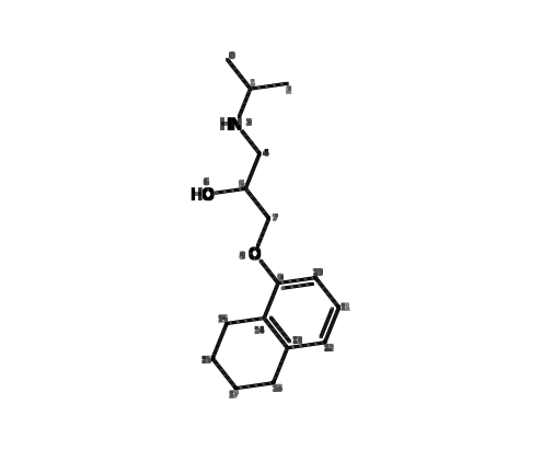 CC(C)NCC(O)COc1cccc2c1CCCC2